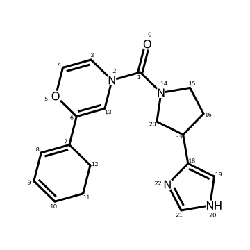 O=C(N1C=COC(C2=CC=CCC2)=C1)N1CCC(c2c[nH]cn2)C1